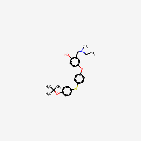 CCN(C)Cc1cc(Oc2ccc(Sc3ccc(OC(C)(C)C)cc3)cc2)ccc1O